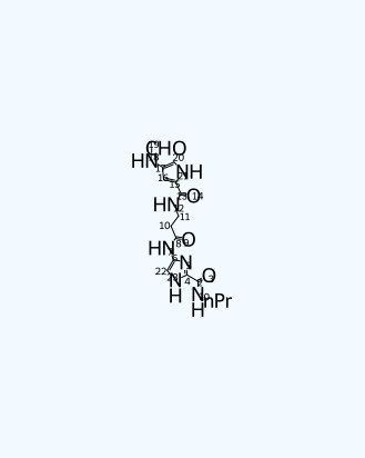 CCCNC(=O)c1nc(NC(=O)CCNC(=O)c2cc(NC=O)c[nH]2)c[nH]1